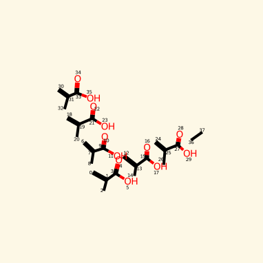 C=C(C)C(=O)O.C=C(C)C(=O)O.C=C(C)C(=O)O.C=C(C)C(=O)O.C=C(C)C(=O)O.C=C(C)C(=O)O.CC